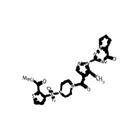 COC(=O)c1sccc1S(=O)(=O)N1CCN(C(=O)c2cnn(-c3nn4cccc4c(=O)[nH]3)c2C)CC1